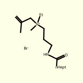 C=C(C)C[N+](C)(CC)CCCNC(=O)CCCCCCC.[Br-]